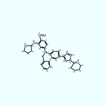 COc1ccc(N(Cc2cccnc2)c2ccc(-c3nnn(C4CCCCO4)n3)cc2)cc1OC1CCCO1